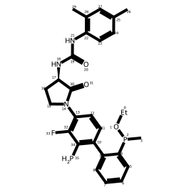 CCOP(C)c1ccccc1-c1ccc(N2CC[C@@H](NC(=O)Nc3ccc(C)cc3C)C2=O)c(F)c1P